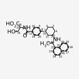 C[C@@H](N[C@H]1CCC[C@H](c2ccc(C(=O)NC(CO)C(=O)O)cc2)C1)c1cccc2ccccc12